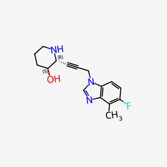 Cc1c(F)ccc2c1ncn2CC#C[C@H]1NCCC[C@@H]1O